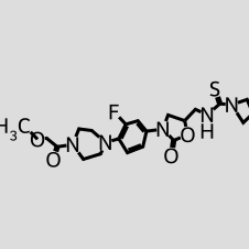 COCC(=O)N1CCN(c2ccc(N3CC(CNC(=S)N4CCC4)OC3=O)cc2F)CC1